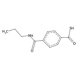 CCCNC(=O)c1ccc(C(=O)S)cc1